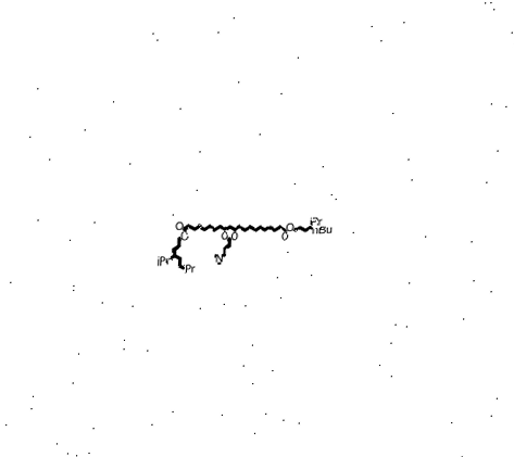 CCCCC(CCCOC(=O)CCCCCCCCCC(CCCCCCCCCC(=O)OCCCC(CCC(C)C)C(C)C)OC(=O)CCCN(C)C)C(C)C